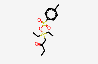 CCC(=O)CS(CC)(CC)OS(=O)(=O)c1ccc(C)cc1